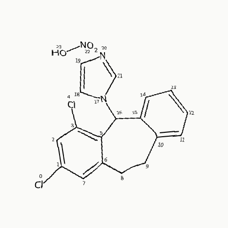 Clc1cc(Cl)c2c(c1)CCc1ccccc1C2n1ccnc1.O=[N+]([O-])O